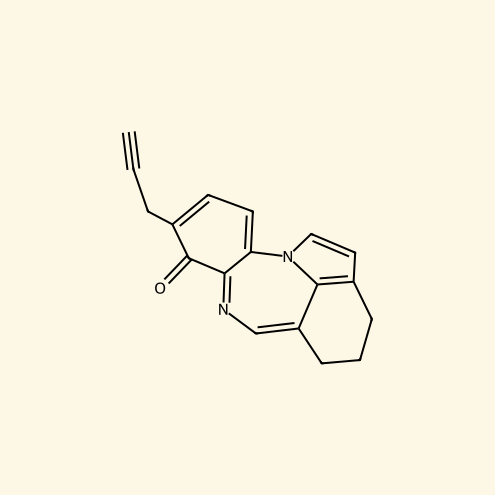 C#CCc1ccc2n3ccc4c3c(cnc-2c1=O)CCC4